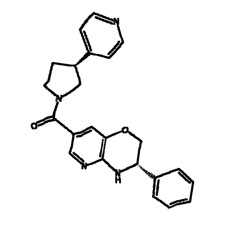 O=C(c1cnc2c(c1)OC[C@H](c1ccccc1)N2)N1CC[C@@H](c2ccncc2)C1